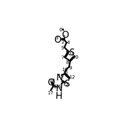 COC(=O)CCc1cc(CCc2csc(NC(C)=O)n2)cs1